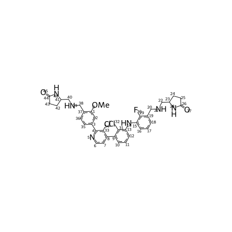 COc1cc(-c2nccc(-c3cccc(Nc4cccc(CNCC5CCC(=O)N5)c4F)c3Cl)c2Cl)ccc1CNCC1CCC(=O)N1